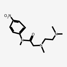 CN(C)CCN(C)CC(=O)N(C)c1ccc([N+](=O)[O-])cc1